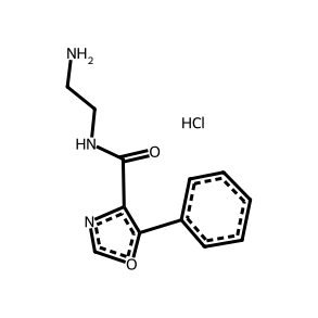 Cl.NCCNC(=O)c1ncoc1-c1ccccc1